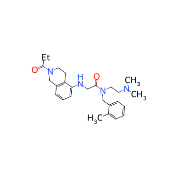 CCC(=O)N1CCc2c(cccc2NCC(=O)N(CCN(C)C)Cc2ccccc2C)C1